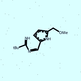 COCc1ccc(/C=N\C(=N)C(C)(C)C)[nH]1